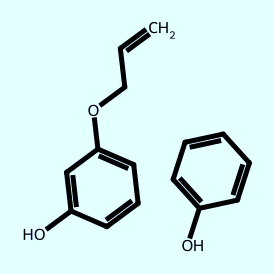 C=CCOc1cccc(O)c1.Oc1ccccc1